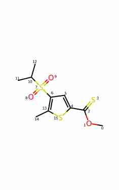 COC(=S)c1cc(S(=O)(=O)C(C)C)c(C)s1